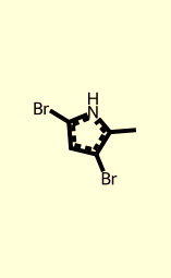 Cc1[nH]c(Br)cc1Br